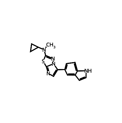 CN(c1nn2c(-c3ccc4[nH]ccc4c3)cnc2s1)C1CC1